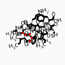 CC[C@H](C)[C@H](NC(=O)[C@@H]1CCCN1C(=O)[C@@H]1CCCN1C(=O)[C@@H](NC(=O)[C@H](CO)NC(=O)[C@H](CCCCN)NC(=O)[C@@H](NC(=O)[C@H](C)NC(=O)[C@@H](N)CCCNC(=N)N)[C@@H](C)O)[C@@H](C)CC)C(=O)N[C@@H](CS)C(=O)N[C@@H](Cc1ccccc1)C(=O)O